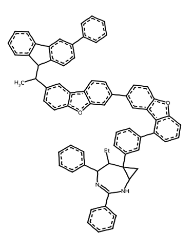 CCC1C(c2ccccc2)N=C(c2ccccc2)NC2CC21c1cccc(-c2cccc3oc4ccc(-c5ccc6c(c5)oc5ccc(C(C)C7c8ccccc8-c8cc(-c9ccccc9)ccc87)cc56)cc4c23)c1